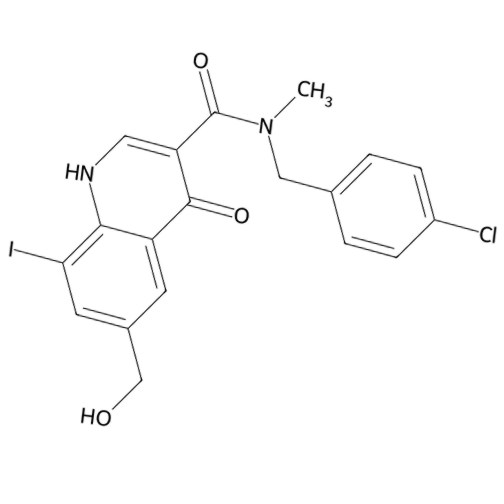 CN(Cc1ccc(Cl)cc1)C(=O)c1c[nH]c2c(I)cc(CO)cc2c1=O